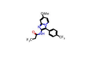 COc1ccn2c(-c3ccc(C(F)(F)F)cc3)c(NC(=O)CC(F)(F)F)nc2c1